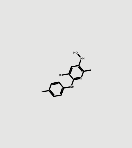 Cc1nc(Nc2ccc(F)cc2)c(Br)cc1NO